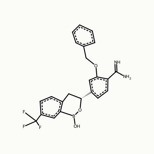 N=C(N)c1ccc([C@H]2Cc3ccc(C(F)(F)F)cc3B(O)O2)cc1OCc1ccccc1